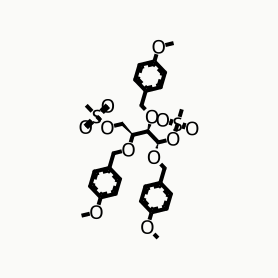 COc1ccc(CO[C@@H](OS(C)(=O)=O)[C@H](OCc2ccc(OC)cc2)[C@H](COS(C)(=O)=O)OCc2ccc(OC)cc2)cc1